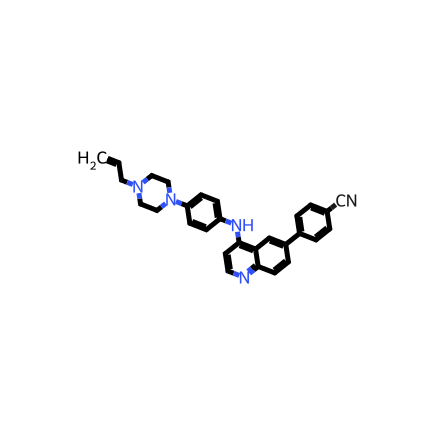 C=CCN1CCN(c2ccc(Nc3ccnc4ccc(-c5ccc(C#N)cc5)cc34)cc2)CC1